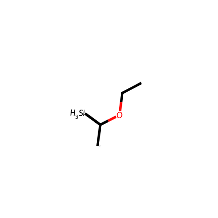 [CH2]C([SiH3])OCC